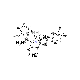 N/C(=C(/c1ccncc1)N(N)c1ccccc1F)c1nc(-c2ccc(F)c(F)c2)no1